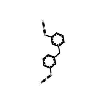 O=C=Nc1cc[c]c(Cc2[c]ccc(N=C=O)c2)c1